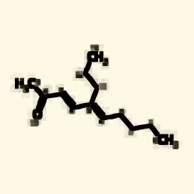 CCCC/C=C(/C=C/C(C)=O)CCC